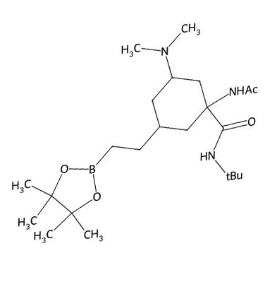 CC(=O)NC1(C(=O)NC(C)(C)C)CC(CCB2OC(C)(C)C(C)(C)O2)CC(N(C)C)C1